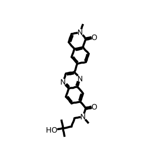 CN(CCC(C)(C)O)C(=O)c1ccc2ncc(-c3ccc4c(=O)n(C)ccc4c3)nc2c1